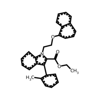 CCOC(=O)c1c(-c2ccccc2C)c2ccccc2n1CCOc1cccc2ccccc12